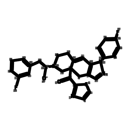 O=C(c1nccs1)C12Cc3cnn(-c4ccc(F)cc4)c3C=C1CCN([S+]([O-])Cc1cccc(F)c1)C2